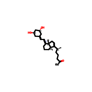 C[C@H](CCCC(=O)C(C)(C)C)C1=CC[C@H]2/C(=C/C=C3C[C@@H](O)C[C@H](O)C3)CCC[C@]12C